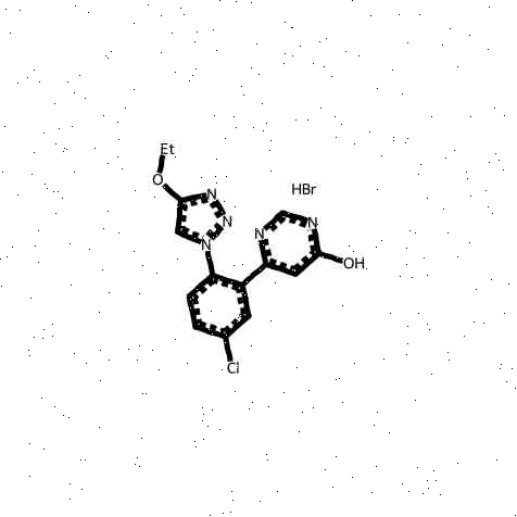 Br.CCOc1cn(-c2ccc(Cl)cc2-c2cc(O)ncn2)nn1